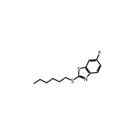 CCCCCCSc1nc2ccc(F)cc2s1